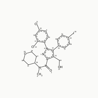 CN(C(=O)c1nn(-c2ccc(Cl)cc2Cl)c(-c2ccc(I)cc2)c1CO)C1CCOCC1